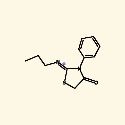 CCC/N=C1\SCC(=O)N1c1ccccc1